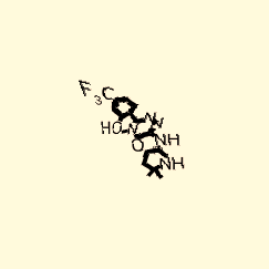 Cn1c(-c2ccc(C(F)(F)F)cc2O)nnc(N[C@@H]2CCC(C)(C)NC2)c1=O